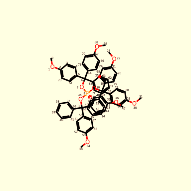 COc1ccc(C(OP(=O)(OC(c2ccccc2)(c2ccc(OC)cc2)c2ccc(OC)cc2)OC(c2ccccc2)(c2ccc(OC)cc2)c2ccc(OC)cc2)(c2ccccc2)c2ccc(OC)cc2)cc1